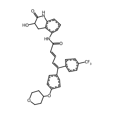 O=C(/C=C/C=C(/c1ccc(OC2CCOCC2)cc1)c1ccc(C(F)(F)F)cc1)Nc1cccc2c1CC(O)C(=O)N2